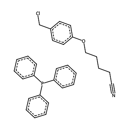 N#CCCCCOc1ccc(CCl)cc1.c1ccc(P(c2ccccc2)c2ccccc2)cc1